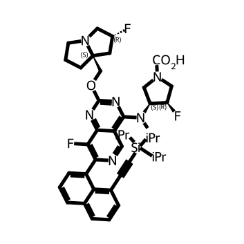 CC(C)[Si](C#Cc1cccc2cccc(-c3ncc4c(N(C)[C@H]5CN(C(=O)O)C[C@H]5F)nc(OC[C@@]56CCCN5C[C@H](F)C6)nc4c3F)c12)(C(C)C)C(C)C